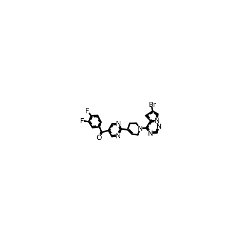 O=C(c1cnc(C2=CCN(c3ncnn4cc(Br)cc34)CC2)nc1)c1ccc(F)c(F)c1